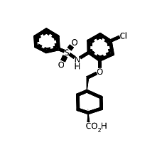 O=C(O)[C@H]1CC[C@@H](COc2cc(Cl)ccc2NS(=O)(=O)c2ccccc2)CC1